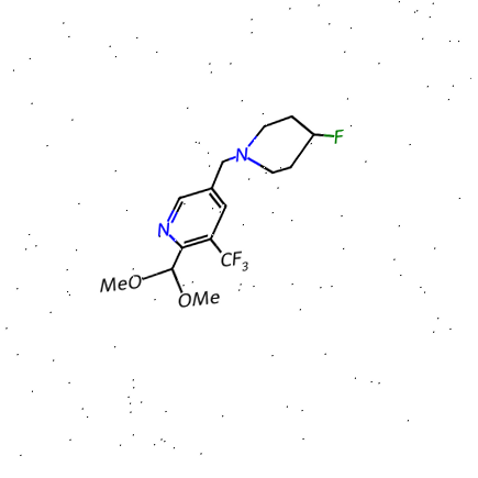 COC(OC)c1ncc(CN2CCC(F)CC2)cc1C(F)(F)F